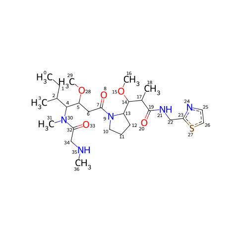 CCC(C)C(C(CC(=O)N1CCCC1C(OC)C(C)C(=O)NCc1nccs1)OC)N(C)C(=O)CNC